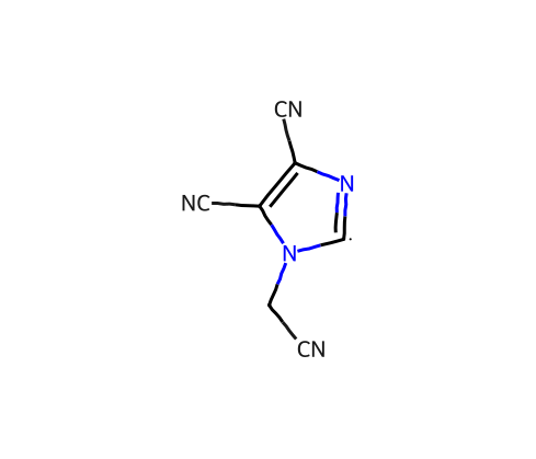 N#CCn1[c]nc(C#N)c1C#N